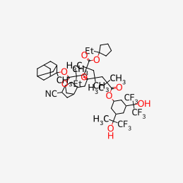 CCC1(OC(=O)C(C)(CC(C)(CC(C)(C)C(=O)OC2CC(C(C)(O)C(F)(F)F)CC(C(O)(C(F)(F)F)C(F)(F)F)C2)C(=O)CC2CC3CC2CC3C#N)CC(C)(CC)C(=O)OC2(C)C3CC4CC(C3)CC2C4)CCCC1